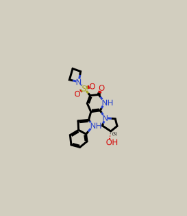 O=c1[nH]c(N2CC[C@H](O)C2)c(-c2cc3ccccc3[nH]2)cc1S(=O)(=O)N1CCC1